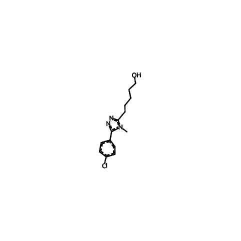 Cn1c(CCCCCO)nnc1-c1ccc(Cl)cc1